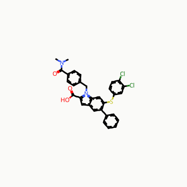 CN(C)C(=O)c1ccc(Cn2c(C(=O)O)cc3cc(-c4ccccc4)c(Sc4ccc(Cl)c(Cl)c4)cc32)cc1